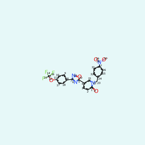 O=c1ccc(-c2nc(-c3ccc(OC(F)(F)F)cc3)no2)cn1Cc1ccc([N+](=O)[O-])cc1